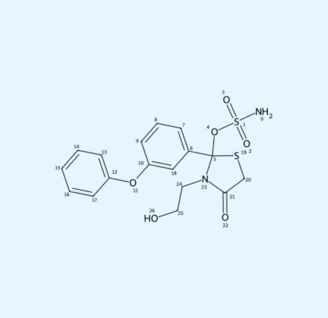 NS(=O)(=O)OC1(c2cccc(Oc3ccccc3)c2)SCC(=O)N1CCO